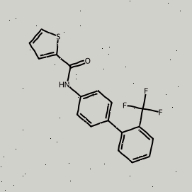 O=C(Nc1ccc(-c2ccccc2C(F)(F)F)cc1)c1cccs1